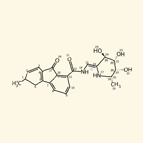 CC1C=CC2=C(C1)c1cccc(C(=O)N/C=C3\N[C@@H](C)[C@@H](O)[C@@H](O)[C@@H]3O)c1C2=O